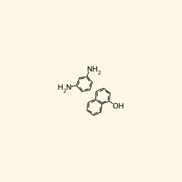 Nc1cccc(N)c1.Oc1cccc2ccccc12